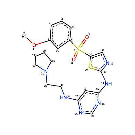 CCOc1cccc(S(=O)(=O)c2cnc(Nc3cc(NCCN4CCCC4)ncn3)s2)c1